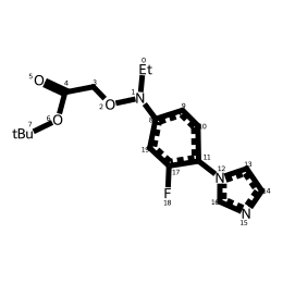 CCN(OCC(=O)OC(C)(C)C)c1ccc(-n2ccnc2)c(F)c1